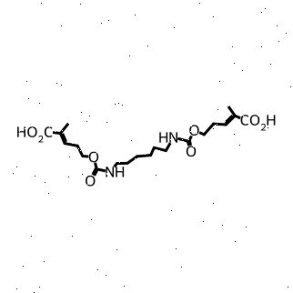 CC(=CCCOC(=O)NCCCCCCNC(=O)OCCC=C(C)C(=O)O)C(=O)O